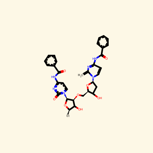 C=C1N=C(NC(=O)c2ccccc2)C=CN1[C@H]1CC(O)[C@@H](CO[C@H]2C(O)[C@@H](CC)O[C@H]2n2ccc(NC(=O)c3ccccc3)nc2=O)O1